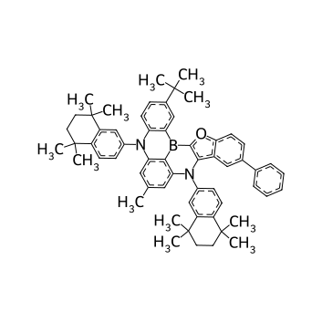 Cc1cc2c3c(c1)N(c1ccc4c(c1)C(C)(C)CCC4(C)C)c1c(oc4ccc(-c5ccccc5)cc14)B3c1cc(C(C)(C)C)ccc1N2c1ccc2c(c1)C(C)(C)CCC2(C)C